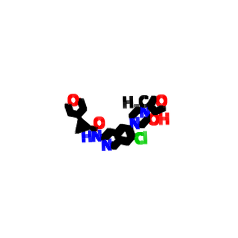 C[C@@]1(N2CCN(c3cc4cc(NC(=O)[C@H]5C[C@H]5C5CCOCC5)ncc4cc3Cl)CC2)COC[C@@H]1O